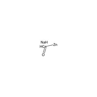 [NaH].[O]=[GeH][Zn]